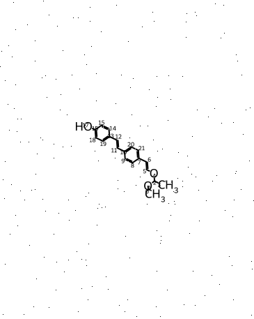 COC(C)OC=Cc1ccc(C=Cc2ccc(O)cc2)cc1